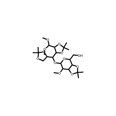 COC(OC)C1OC(C)(C)OC1C(OC1OC(CO)C2OC(C)(C)OC2C1OC)C1COC(C)(C)O1